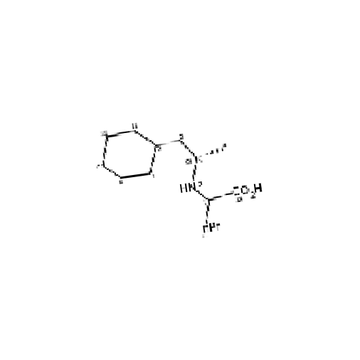 CCCC(N[C@@H](C)CC1CCCCC1)C(=O)O